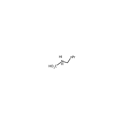 CCCCNC(=O)O.I